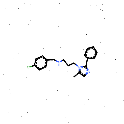 Cc1cnc(-c2ccccc2)n1CCCNCc1ccc(Cl)cc1